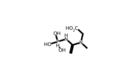 C=C(N[PH](O)(O)O)N(C)CC(=O)O